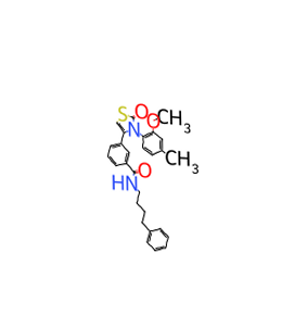 COc1cc(C)ccc1-n1c(-c2cccc(C(=O)NCCCCc3ccccc3)c2)csc1=O